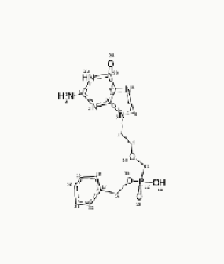 Nc1nc2c(ncn2CCOCP(=O)(O)OCc2ccccc2)c(=O)[nH]1